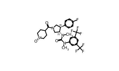 CN(C(=O)N(C)[C@@H]1CN(C(=O)C2CC[S+]([O-])CC2)C[C@H]1c1ccc(F)cc1)c1cc(C(F)(F)F)cc(C(F)(F)F)c1